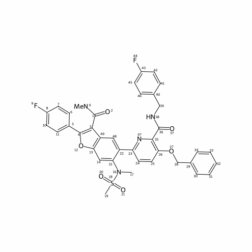 CNC(=O)c1c(-c2ccc(F)cc2)oc2cc(N(C)S(C)(=O)=O)c(-c3ccc(OCc4ccccc4)c(C(=O)NCc4ccc(F)cc4)n3)cc12